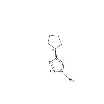 Nc1cc([C@H]2C[CH]CC2)n[nH]1